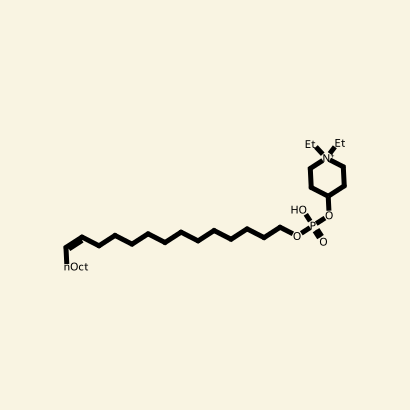 CCCCCCCC/C=C\CCCCCCCCCCCCOP(=O)(O)OC1CC[N+](CC)(CC)CC1